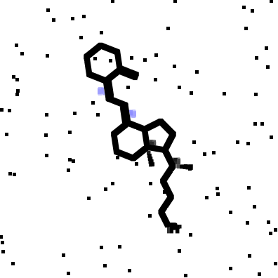 C=C1CCCC/C1=C/C=C1\CCC[C@@]2(C)C1CCC2[C@H](C)CCCC(C)C